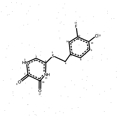 O=c1[nH]cc(SCc2ccc(Cl)c(F)c2)[nH]c1=O